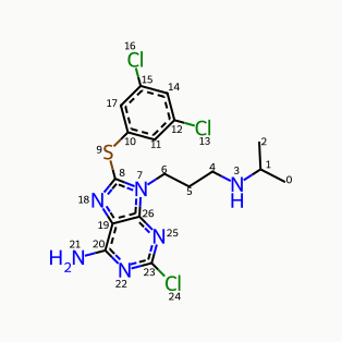 CC(C)NCCCn1c(Sc2cc(Cl)cc(Cl)c2)nc2c(N)nc(Cl)nc21